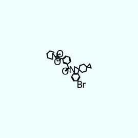 O=C(c1cccc(S(=O)(=O)N2CCCCC2)c1)N1CC2(CCC3(CC3)CC2)c2cc(Br)ccc21